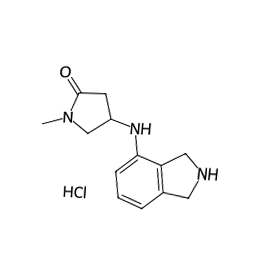 CN1CC(Nc2cccc3c2CNC3)CC1=O.Cl